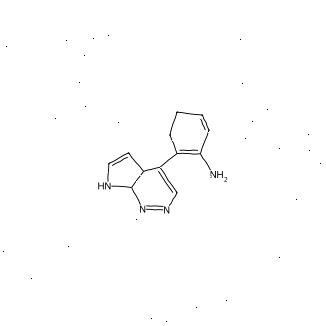 NC1=C(C2=CN=NC3NC=CC23)CCC=C1